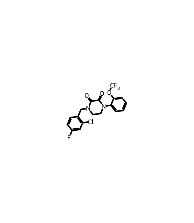 O=C1C(=O)N(c2ccccc2OC(F)(F)F)CCN1Cc1ccc(F)cc1Cl